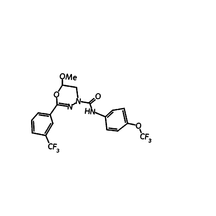 COC1CN(C(=O)Nc2ccc(OC(F)(F)F)cc2)N=C(c2cccc(C(F)(F)F)c2)O1